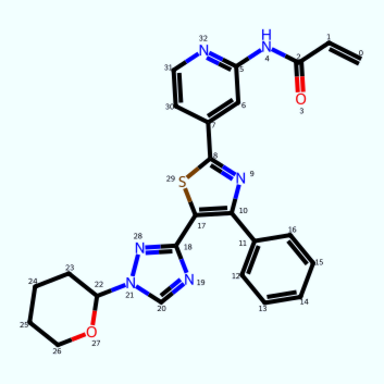 C=CC(=O)Nc1cc(-c2nc(-c3ccccc3)c(-c3ncn(C4CCCCO4)n3)s2)ccn1